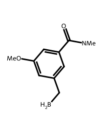 BCc1cc(OC)cc(C(=O)NC)c1